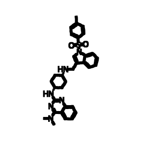 Cc1ccc(S(=O)(=O)n2cc(CN[C@H]3CC[C@@H](Nc4nc(N(C)C)c5ccccc5n4)CC3)c3ccccc32)cc1